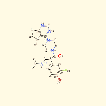 CC(C)NC[C@@H](C(=O)N1CCN(c2ncnc3c2[C@H](C)CC3)CC1)c1ccc(Br)c(F)c1